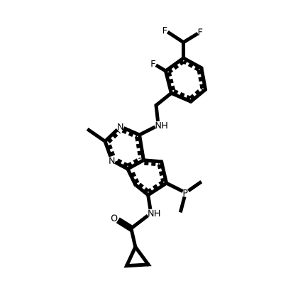 Cc1nc(NCc2cccc(C(F)F)c2F)c2cc(P(C)C)c(NC(=O)C3CC3)cc2n1